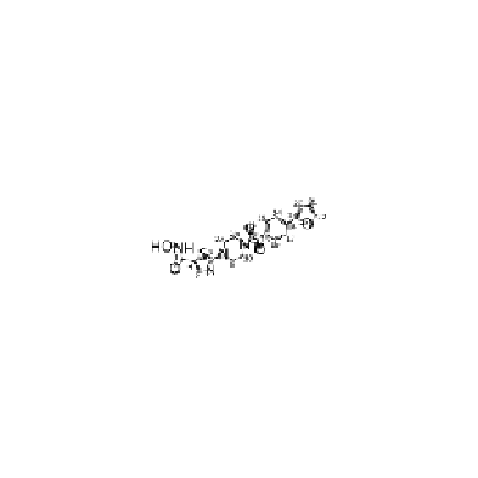 O=C(NO)c1cnc(N2CCN(S(=O)(=O)c3ccc(-c4ccco4)cc3)CC2)s1